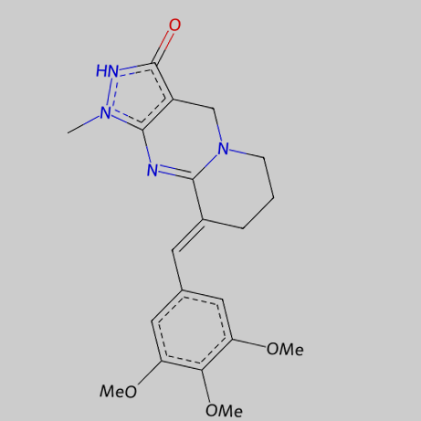 COc1cc(/C=C2\CCCN3Cc4c(n(C)[nH]c4=O)N=C23)cc(OC)c1OC